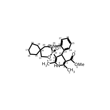 COC(=O)C1=C(C)NC(C)=C(P2(=O)OCC3(CCCCC3)CO2)C1c1ccccc1[N+](=O)[O-]